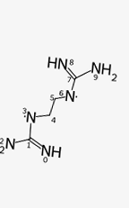 N=C(N)[N]CC[N]C(=N)N